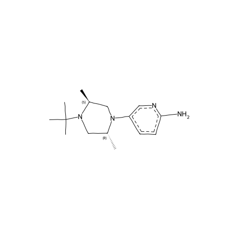 C[C@@H]1CN(C(C)(C)C)[C@@H](C)CN1c1ccc(N)nc1